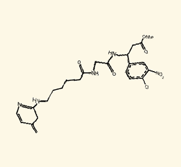 C=C1C=CN=C(NCCCCCC(=O)NCC(=O)NC(CC(=O)OC)c2ccc(Cl)c([N+](=O)[O-])c2)C1